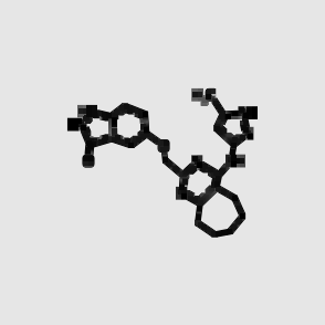 Cc1cc(Nc2nc(COc3ccc4[nH][nH]c(=O)c4c3)nc3c2CCCCC3)n[nH]1